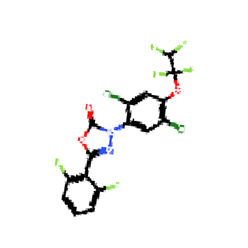 O=c1oc(-c2c(F)cccc2F)nn1-c1cc(Cl)c(OC(F)(F)C(F)F)cc1Cl